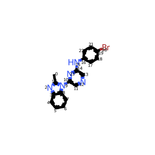 Cc1nc2ccccc2n1-c1cncc(Nc2ccc(Br)cc2)n1